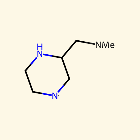 CNCC1C[N]CCN1